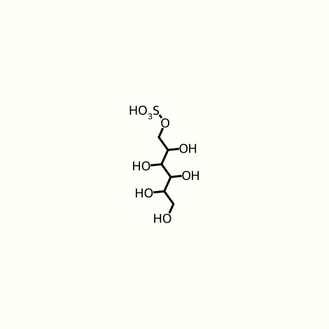 O=S(=O)(O)OCC(O)C(O)C(O)C(O)CO